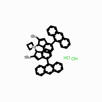 CC(C)(C)C1=Cc2c(-c3c4ccccc4cc4ccccc34)cccc2[CH]1[Hf]1([CH]2C(C(C)(C)C)=Cc3c(-c4c5ccccc5cc5ccccc45)cccc32)[CH2]C[CH2]1.Cl.Cl